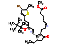 C=CC1CC(=O)[C@H](C/C=C\CCCC(=O)OC)[C@H]1/C=C/[C@H](CCc1cc(Br)c(C)s1)O[Si](C)(C)C(C)(C)C